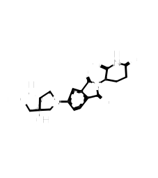 CC[C@]1(C)CN(c2ccc3c(c2)C(=O)N(C2CCC(=O)NC2=O)C3=O)C[C@H]1C